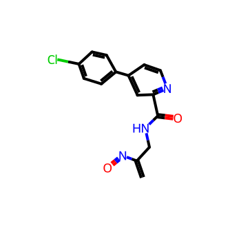 C=C(CNC(=O)c1cc(-c2ccc(Cl)cc2)ccn1)N=O